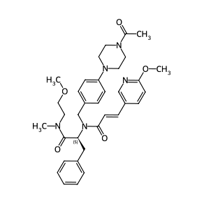 COCCN(C)C(=O)[C@H](Cc1ccccc1)N(Cc1ccc(N2CCN(C(C)=O)CC2)cc1)C(=O)C=Cc1ccc(OC)nc1